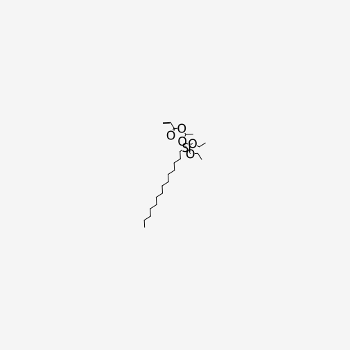 C=CC(=O)OC(C)O[Si](CCCCCCCCCCCCCC)(OCC)OCC